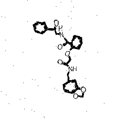 O=C(COc1ccccc1C(=O)NCC(=O)c1ccccc1)NCc1ccc2c(c1)OCO2